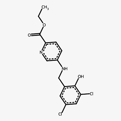 CCOC(=O)c1ccc(NCc2cc(Cl)cc(Cl)c2O)cn1